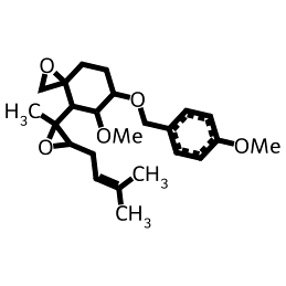 COc1ccc(COC2CCC3(CO3)C(C3(C)OC3CC=C(C)C)C2OC)cc1